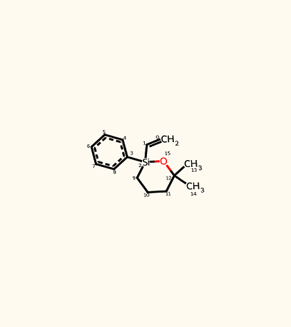 C=C[Si]1(c2ccccc2)CCCC(C)(C)O1